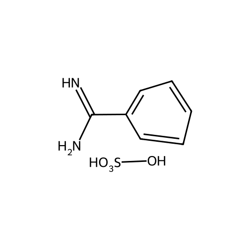 N=C(N)c1ccccc1.O=S(=O)(O)O